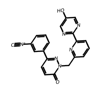 [C-]#[N+]c1cccc(-c2ccc(=O)n(Cc3cccc(-c4ncc(O)cn4)n3)n2)c1